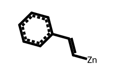 [Zn][CH]=Cc1ccccc1